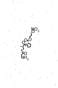 C[C@H](CSC(=O)CN)C(=O)N1CCC[C@H]1C(=O)OCCCO[N+](=O)[O-]